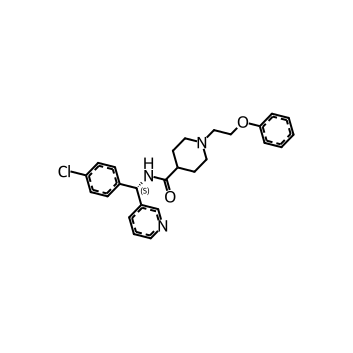 O=C(N[C@@H](c1ccc(Cl)cc1)c1cccnc1)C1CCN(CCOc2ccccc2)CC1